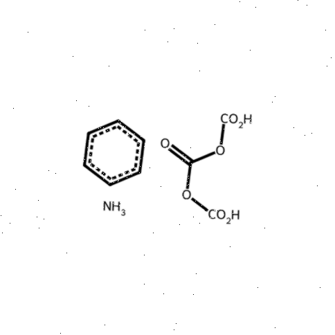 N.O=C(O)OC(=O)OC(=O)O.c1ccccc1